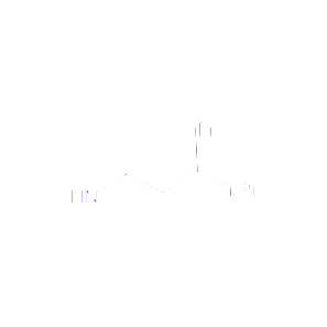 [CH2]CCC(CC[NH])C(C)C